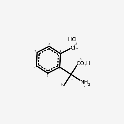 CC(N)(C(=O)O)c1ccccc1Cl.Cl